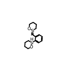 c1ccc([SiH]2CCCCO2)c(C[SiH]2CCCCO2)c1